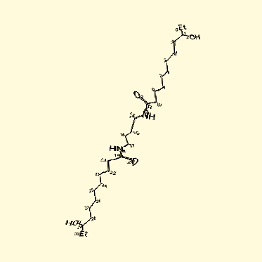 CCC(O)CCCCCCCCC(=O)NCCCCNC(=O)CCCCCCCCC(O)CC